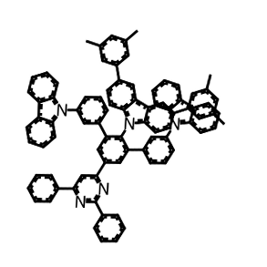 Cc1cc(C)cc(-c2ccc3c(c2)c2cc(-c4cc(C)cc(C)c4)ccc2n3-c2c(-c3cccc(-n4c5ccccc5c5ccccc54)c3)cc(-c3cc(-c4ccccc4)nc(-c4ccccc4)n3)cc2-c2cccc(-n3c4ccccc4c4ccccc43)c2)c1